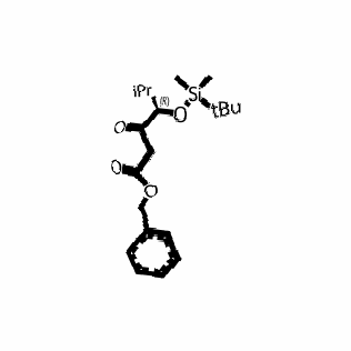 CC(C)[C@@H](O[Si](C)(C)C(C)(C)C)C(=O)CC(=O)OCc1ccccc1